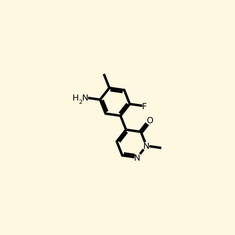 Cc1cc(F)c(-c2ccnn(C)c2=O)cc1N